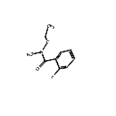 CCON(O)C(=O)c1ccccc1F